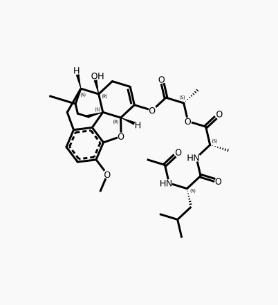 COc1ccc2c3c1O[C@H]1C(OC(=O)[C@H](C)OC(=O)[C@H](C)NC(=O)[C@H](CC(C)C)NC(C)=O)=CC[C@@]4(O)[C@@H](C2)C(C)CC[C@]314